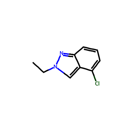 CCn1cc2c(Cl)cccc2n1